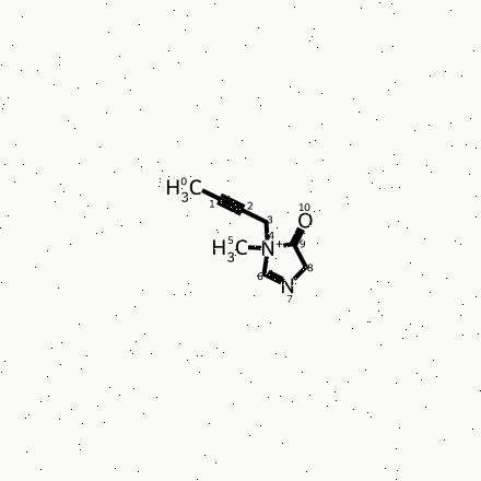 CC#CC[N+]1(C)C=NCC1=O